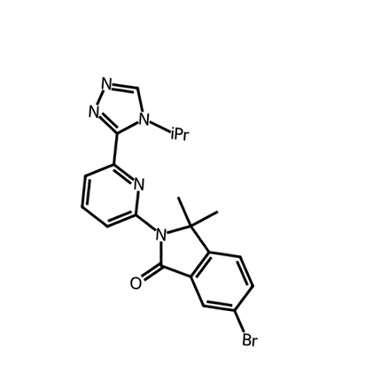 CC(C)n1cnnc1-c1cccc(N2C(=O)c3cc(Br)ccc3C2(C)C)n1